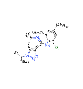 CCCCC(CC)n1nnc2c(Nc3c(Cl)cc(OC)cc3OC)nc(C)cc21